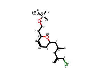 C=C(CBr)CC(C)CC1CC=CC(CCO[Si](C)(C)C(C)(C)C)O1